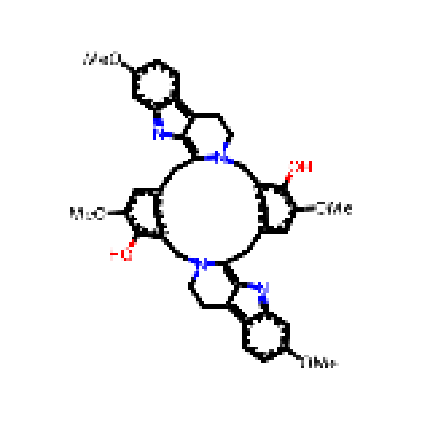 COc1ccc2c(c1)=NC1=C3Cc4cc(c(O)c(OC)c4)CN4CCC5=c6ccc(OC)cc6=NC5=C4Cc4cc(c(O)c(OC)c4)CN3CCC=21